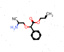 C=CCOC(=O)C(OCC(N)C#N)c1ccccc1